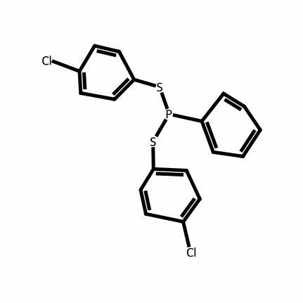 Clc1ccc(SP(Sc2ccc(Cl)cc2)c2ccccc2)cc1